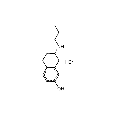 Br.CCCN[C@H]1CCc2ccc(O)cc2[C@H]1C